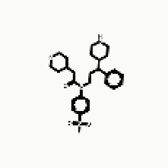 CS(=O)(=O)c1ccc(N(CCC(c2ccccc2)C2CCNCC2)C(=O)CC2CCNCC2)cc1